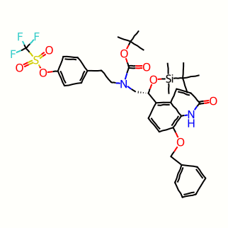 CC(C)(C)OC(=O)N(CCc1ccc(OS(=O)(=O)C(F)(F)F)cc1)C[C@H](O[Si](C)(C)C(C)(C)C)c1ccc(OCc2ccccc2)c2[nH]c(=O)ccc12